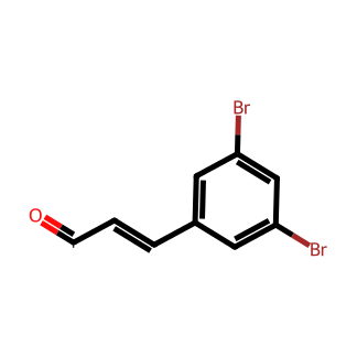 O=[C]/C=C/c1cc(Br)cc(Br)c1